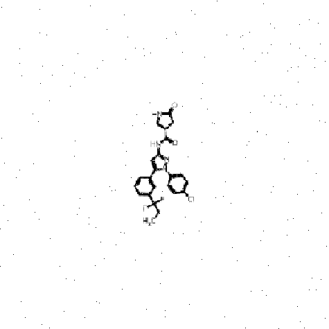 CCC(F)(F)c1cccc(-c2cc(NC(=O)[C@H]3CNC(=O)C3)nn2-c2ccc(Cl)cc2)c1